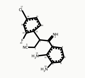 N#CCC(C(=N)c1cccc(N)c1N)c1ccc(Cl)cc1F